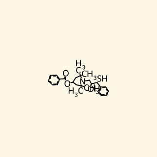 CC1(C)CC(OC(=O)c2ccccc2)CC(C)(C)N1CC(O)C(S)c1ccccc1